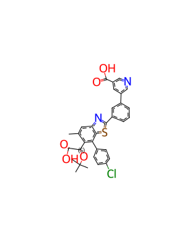 Cc1cc2nc(-c3cccc(-c4cncc(C(=O)O)c4)c3)sc2c(-c2ccc(Cl)cc2)c1[C@H](OC(C)(C)C)C(=O)O